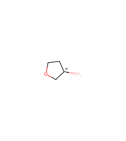 B[C@@H]1CCOC1